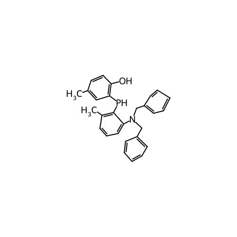 Cc1ccc(O)c(Pc2c(C)cccc2N(Cc2ccccc2)Cc2ccccc2)c1